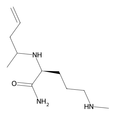 C=CCC(C)N[C@@H](CCCNC)C(N)=O